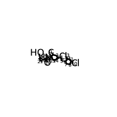 O=C(O)c1cc(C=Cc2ccc(Cl)cc2Cl)ccc1NC(=O)C1CC1